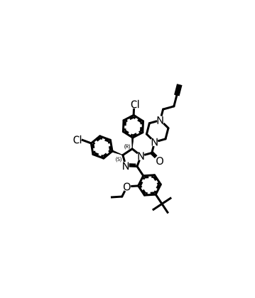 C#CCCN1CCN(C(=O)N2C(c3ccc(C(C)(C)C)cc3OCC)=N[C@@H](c3ccc(Cl)cc3)[C@H]2c2ccc(Cl)cc2)CC1